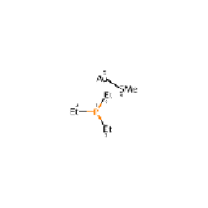 CCP(CC)CC.C[S][Au]